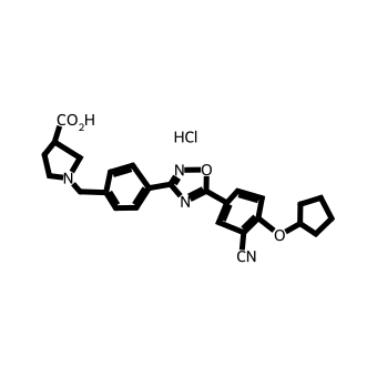 Cl.N#Cc1cc(-c2nc(-c3ccc(CN4CCC(C(=O)O)C4)cc3)no2)ccc1OC1CCCC1